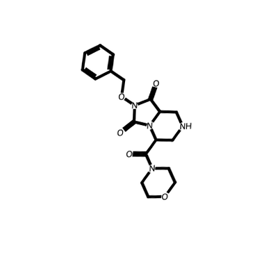 O=C(C1CNCC2C(=O)N(OCc3ccccc3)C(=O)N12)N1CCOCC1